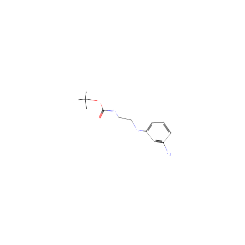 CC(C)(C)OC(=O)NCCNc1cccc(N)c1